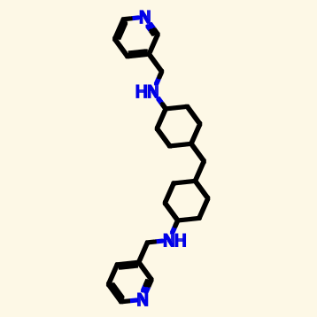 c1cncc(CNC2CCC(CC3CCC(NCc4cccnc4)CC3)CC2)c1